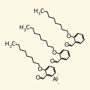 CCCCCCCCOc1ccccc1C=O.CCCCCCCCOc1ccccc1C=O.CCCCCCCCOc1ccccc1C=O.[Al]